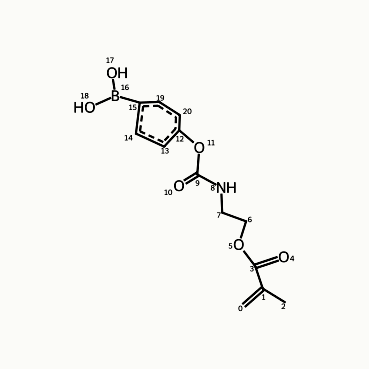 C=C(C)C(=O)OCCNC(=O)Oc1ccc(B(O)O)cc1